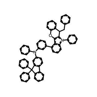 c1ccc(CC2c3ccccc3Oc3c2n(-c2ccccc2)c2cccc(-c4cccc(N(c5ccccc5)c5ccc6c(c5)C(c5ccccc5)(c5ccccc5)c5ccccc5-6)c4)c32)cc1